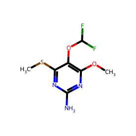 COc1nc(N)nc(SC)c1OC(F)F